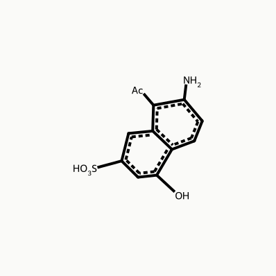 CC(=O)c1c(N)ccc2c(O)cc(S(=O)(=O)O)cc12